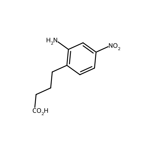 Nc1cc([N+](=O)[O-])ccc1CCCC(=O)O